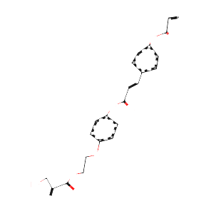 C=CC(=O)Oc1ccc(/C=C/C(=O)Oc2ccc(OCCOC(=O)C(=C)CO)cc2)cc1